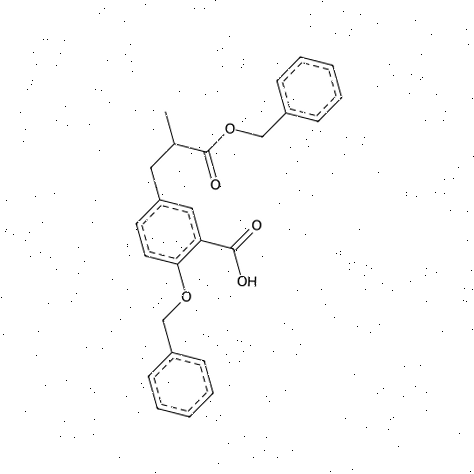 CC(Cc1ccc(OCc2ccccc2)c(C(=O)O)c1)C(=O)OCc1ccccc1